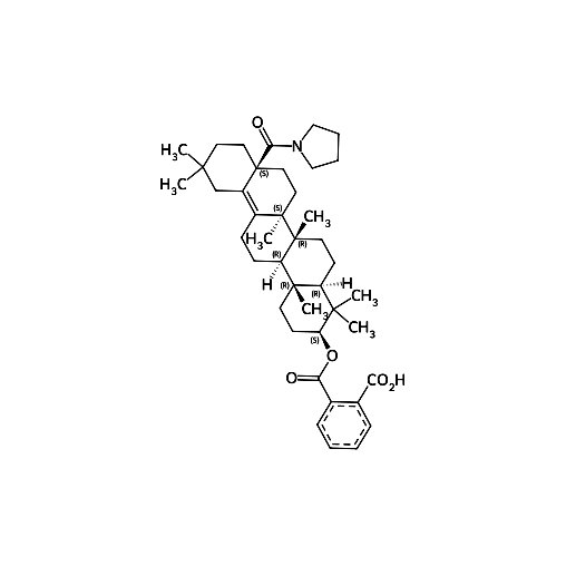 CC1(C)CC[C@]2(C(=O)N3CCCC3)CC[C@]3(C)C(=C2C1)CC[C@@H]1[C@@]2(C)CC[C@H](OC(=O)c4ccccc4C(=O)O)C(C)(C)[C@@H]2CC[C@]13C